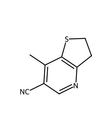 Cc1c(C#N)cnc2c1SCC2